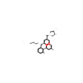 COCCCC[C@H](c1cccc(C(=O)N2C[C@@H](N)[C@@H](O)C2)c1)c1cccc(F)c1-c1cccc(C)c1